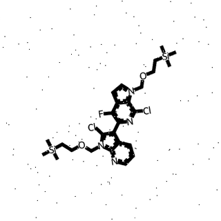 C[Si](C)(C)CCOCn1ccc2c(F)c(-c3c(Cl)n(COCC[Si](C)(C)C)c4ncccc34)nc(Cl)c21